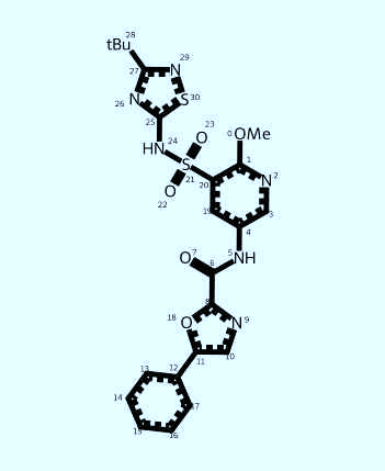 COc1ncc(NC(=O)c2ncc(-c3ccccc3)o2)cc1S(=O)(=O)Nc1nc(C(C)(C)C)ns1